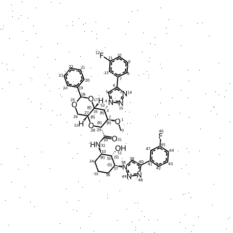 CO[C@@H]1[C@@H](n2cc(-c3cccc(F)c3)nn2)[C@H]2OC(c3ccccc3)OC[C@H]2O[C@H]1C(=O)N[C@@H]1CCC[C@H](n2cc(-c3cccc(F)c3)nn2)[C@H]1O